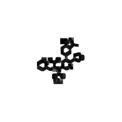 Cc1n[nH]c2ccc(-c3cc(N(C(=O)OC(C)(C)C)[C@@H](Cc4ccccc4)C(N)=O)cnc3-c3ccoc3)cc12